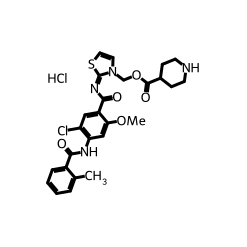 COc1cc(NC(=O)c2ccccc2C)c(Cl)cc1C(=O)N=c1sccn1COC(=O)C1CCNCC1.Cl